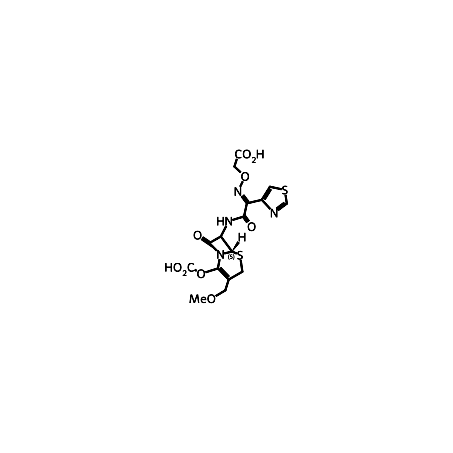 COCC1=C(OC(=O)O)N2C(=O)C(NC(=O)C(=NOCC(=O)O)c3cscn3)[C@@H]2SC1